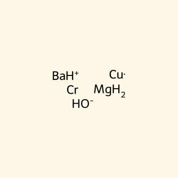 [BaH+].[Cr].[Cu].[MgH2].[OH-]